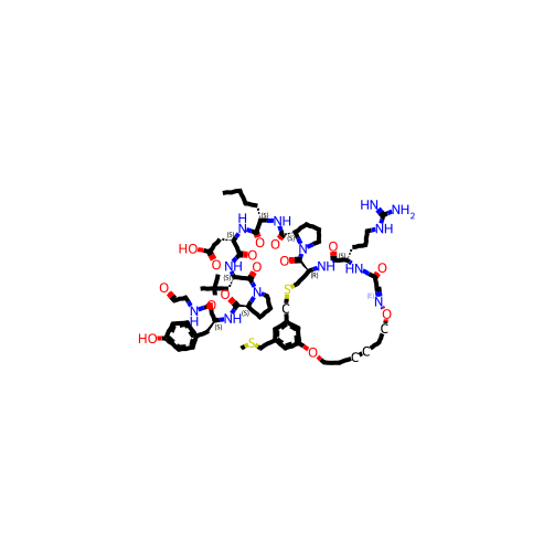 CCCC[C@H](NC(=O)[C@@H]1CCCN1C(=O)[C@@H]1CSCc2cc(CSC)cc(c2)OCCCCCCO/N=C/C(=O)N[C@@H](CCCNC(=N)N)C(=O)N1)C(=O)N[C@@H](CC(=O)O)C(=O)N[C@@H](CC(C)(C)C)C(=O)N1CCC[C@H]1C(=O)N[C@@H](Cc1ccc(O)cc1)C(=O)NCC=O